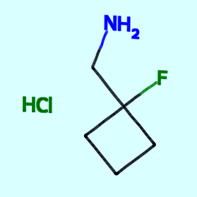 Cl.NCC1(F)CCC1